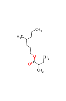 C=C(CC)C(=O)OCCCC(C)CCC